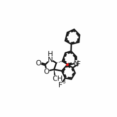 C[C@@]1(c2cc(F)ccc2F)OC(=O)N[C@@H]1c1cncc(-c2ccccc2)c1